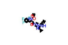 CC(C)(C)CC(C)(C)Nc1c(C2CC2)nc2n1CCN(C(=O)C[C@@H](Cc1cc(F)c(F)cc1F)NC(=O)OC(C)(C)C)C2